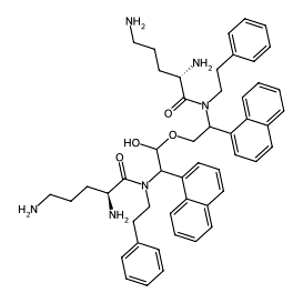 NCCC[C@H](N)C(=O)N(CCc1ccccc1)C(COC(O)C(c1cccc2ccccc12)N(CCc1ccccc1)C(=O)[C@@H](N)CCCN)c1cccc2ccccc12